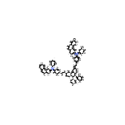 C(=C\c1ccc2c(-c3ccccc3)c(-c3ccccc3)c3ccc(/C=C/c4ccc(N(c5ccccc5)c5ccc6ccc7ccccc7c6c5)cc4)cc3c2c1)/c1ccc(N(c2ccccc2)c2ccc3ccc4ccccc4c3c2)cc1